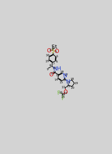 CCS(=O)(=O)c1ccc([C@H](C)NC(=O)c2ccc(N3CCC[C@H]3COC(F)F)nc2)cc1